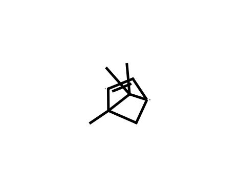 CC12[C]=C[C](C1)C2(C)C